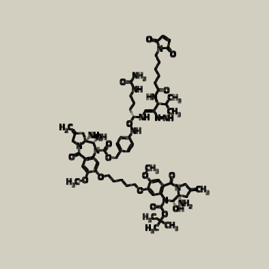 C=C1CN2C(=O)c3cc(OC)c(OCCCCCOc4cc5c(cc4OC)C(=O)N4CC(=C)C[C@@]4(N)[C@H](O)N5C(=O)OC(C)(C)C)cc3N(C(=O)OCc3ccc(NO[C@H](CCCNC(N)=O)N/C=C(\N=N)[C@@H](NC(=O)CCCCCN4C(=O)C=CC4=O)C(C)C)cc3)[C@@H](O)[C@]2(N)C1